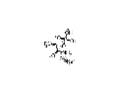 C=CC(N)=O.O=P([O-])([O-])O.[Na+].[Na+]